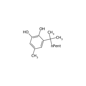 CCCCCC(C)(C)c1cc(C)cc(O)c1O